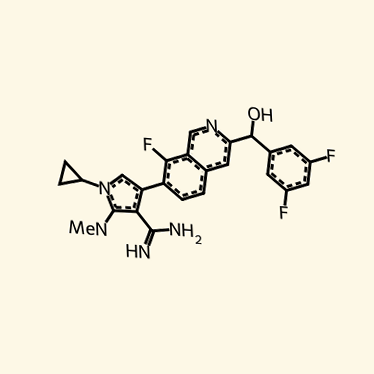 CNc1c(C(=N)N)c(-c2ccc3cc(C(O)c4cc(F)cc(F)c4)ncc3c2F)cn1C1CC1